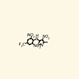 Cc1nsc(Nc2c([N+](=O)[O-])cc(C(F)(F)F)cc2[N+](=O)[O-])c1[N+](=O)[O-]